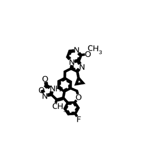 COc1nccn2c(Cc3ccc4c(c3)COc3cc(F)ccc3/C4=C(\C)c3noc(=O)[nH]3)c(C3CC3)nc12